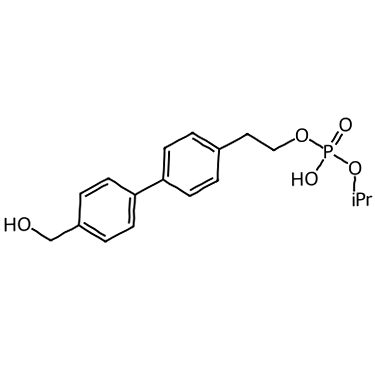 CC(C)OP(=O)(O)OCCc1ccc(-c2ccc(CO)cc2)cc1